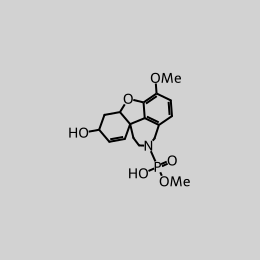 COc1ccc2c3c1OC1CC(O)C=CC31CCN(P(=O)(O)OC)C2